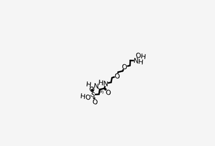 N[C@@H](CS(=O)(=O)O)C(=O)NCCOCCOCCNO